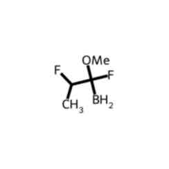 BC(F)(OC)C(C)F